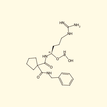 N=C(N)NCCC[C@H](NC(=O)C1(C(=O)NCc2ccccc2)CCCC1)OBO